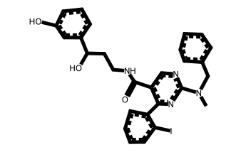 CN(Cc1ccccc1)c1ncc(C(=O)NCCC(O)c2cccc(O)c2)c(-c2ccccc2I)n1